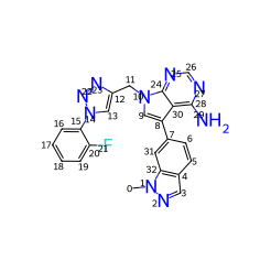 Cn1ncc2ccc(-c3cn(Cc4cn(-c5ccccc5F)nn4)c4ncnc(N)c34)cc21